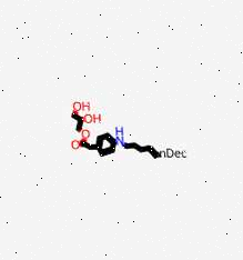 CCCCCCCCCCC=CCCCNc1ccc(CC(=O)OCC(O)CO)cc1